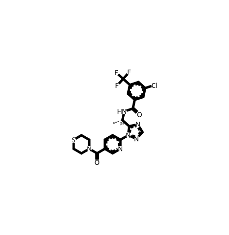 C[C@H](NC(=O)c1cc(Cl)cc(C(F)(F)F)c1)c1ncnn1-c1ccc(C(=O)N2CCSCC2)cn1